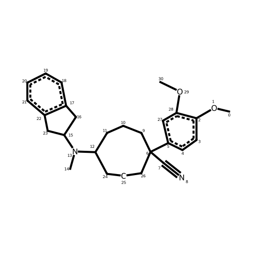 COc1ccc(C2(C#N)CCCC(N(C)C3Cc4ccccc4C3)CCC2)cc1OC